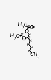 CCCCCC(COC(C)=O)OCC